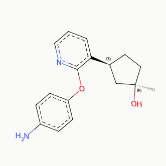 C[C@@]1(O)CC[C@H](c2cccnc2Oc2ccc(N)cc2)C1